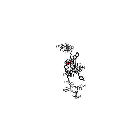 Cc1ccc(CCCC(=O)NC(CC(=O)NC(CC(=O)NC(CC(=O)NC(CCCCNC(=O)CN2CCN(CC(=O)O)CCN(CC(=O)O)CCN(CC(=O)O)CC2)C(=O)NCC2CCC(C(=O)NC(Cc3ccc4ccccc4c3)C(=O)NCCCCC(NC(=O)NC(CCC(=O)O)C(=O)O)C(=O)O)CC2)C(=O)O)C(=O)O)C(=O)O)cc1